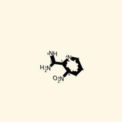 N=C(N)c1ncccc1[N+](=O)[O-]